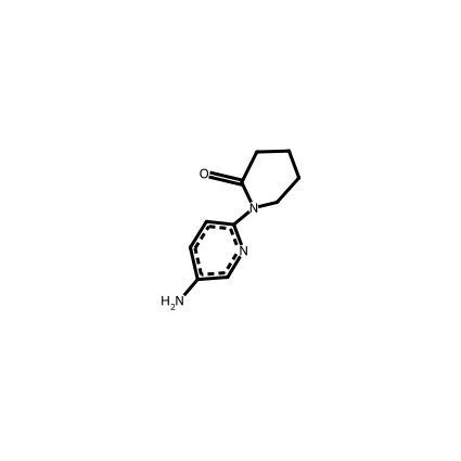 Nc1ccc(N2CCCCC2=O)nc1